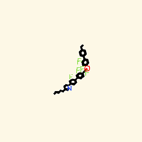 CCCCCc1ccc(-c2ccc(-c3ccc(C(F)(F)Oc4ccc(-c5ccc(CC)cc5)c(F)c4)c(F)c3)c(F)c2)nc1